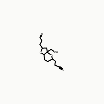 N#CCCC1CCC2OC(CCC=O)CC2(CO)O1